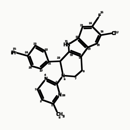 Cc1ccnc(N2CCc3c([nH]c4cc(F)c(Cl)cc34)C2c2ccc(C(C)C)cc2)n1